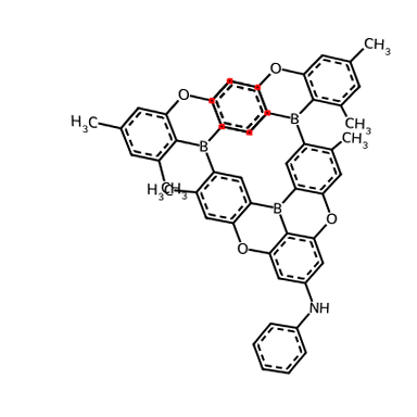 Cc1cc(C)c2c(c1)Oc1ccccc1B2c1cc2c(cc1C)Oc1cc(Nc3ccccc3)cc3c1B2c1cc(B2c4ccccc4Oc4cc(C)cc(C)c42)c(C)cc1O3